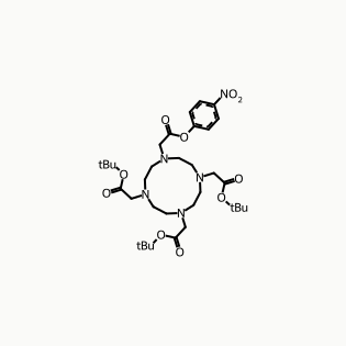 CC(C)(C)OC(=O)CN1CCN(CC(=O)Oc2ccc([N+](=O)[O-])cc2)CCN(CC(=O)OC(C)(C)C)CCN(CC(=O)OC(C)(C)C)CC1